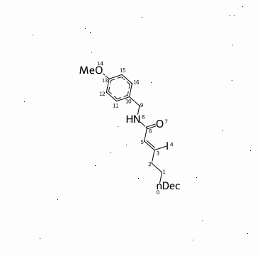 CCCCCCCCCCCC/C(I)=C/C(=O)NCc1ccc(OC)cc1